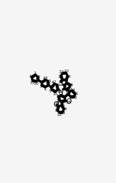 c1ccc(-c2ccc(-c3ccc(N(c4cccc5c4sc4ccccc45)c4cc5oc6ccccc6c5c5oc6ccccc6c45)cc3)cc2)cc1